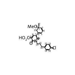 COC1(F)C=CC=C(c2cc(C(=O)O)c(=O)n(CCCc3ccc(Cl)cc3)n2)C1